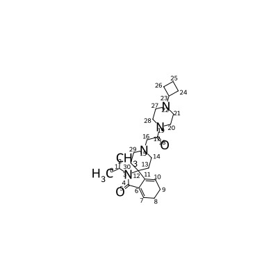 CC(C)N1C(=O)C2=CCCC=C2C12CCN(CC(=O)N1CCN(C3CCC3)CC1)CC2